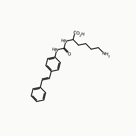 NCCCCC(NC(=O)Nc1ccc(C=Cc2ccccc2)cc1)C(=O)O